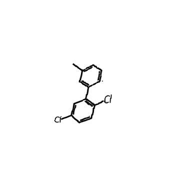 Cc1cc[c]c(-c2cc(Cl)ccc2Cl)c1